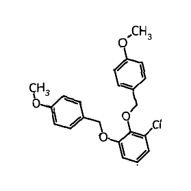 COc1ccc(COc2c[c]cc(Cl)c2OCc2ccc(OC)cc2)cc1